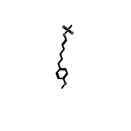 COc1ccc(CCCCC=COS(C)(=O)=O)cc1